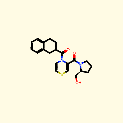 O=C(C1CCc2ccccc2C1)N1C=CSC=C1C(=O)N1CCC[C@H]1CO